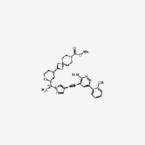 C[C@@H]([C@@H]1CN(C2CC3(CCN(C(=O)OC(C)(C)C)CC3)C2)CCO1)n1cc(C#Cc2cc(-c3ccccc3O)nnc2N)cn1